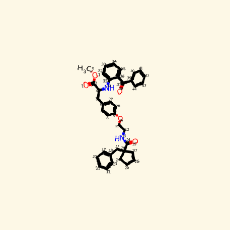 COC(=O)C(Cc1ccc(OCCNC(=O)C2(Cc3ccccc3)CCCC2)cc1)Nc1ccccc1C(=O)c1ccccc1